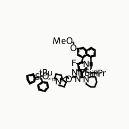 COCOc1cc(-c2ncc3c(N4CCCCCC4)nc(OC[C@@]45CCCN4[C@H](CO[Si](c4ccccc4)(c4ccccc4)C(C)(C)C)CC5)nc3c2F)c2c(C#C[Si](C(C)C)(C(C)C)C(C)C)cccc2c1